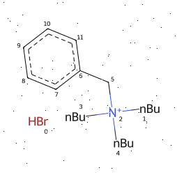 Br.CCCC[N+](CCCC)(CCCC)Cc1ccccc1